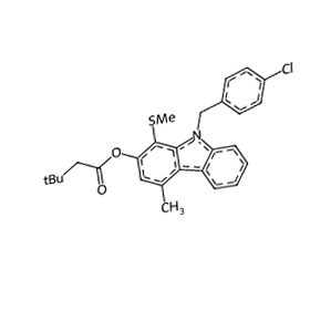 CSc1c(OC(=O)CC(C)(C)C)cc(C)c2c3ccccc3n(Cc3ccc(Cl)cc3)c12